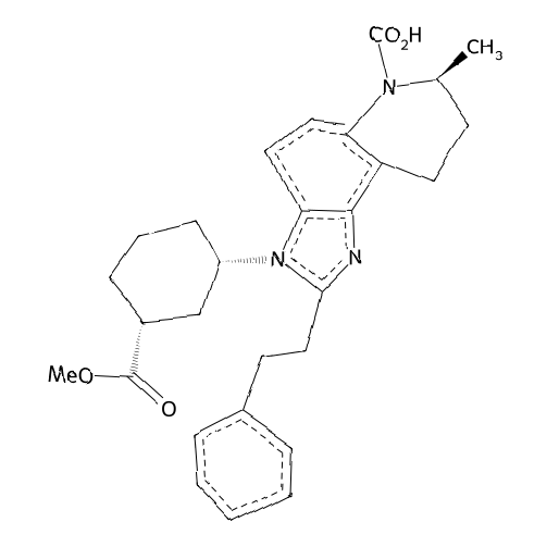 COC(=O)[C@@H]1CCC[C@H](n2c(CCc3ccccc3)nc3c4c(ccc32)N(C(=O)O)[C@@H](C)CC4)C1